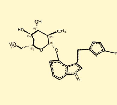 C[C@H]1[C@H](Oc2cccc3[nH]cc(Cc4ccc(F)s4)c23)O[C@H](CO)[C@@H](O)[C@@H]1O